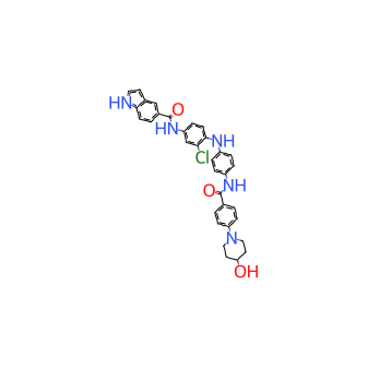 O=C(Nc1ccc(Nc2ccc(NC(=O)c3ccc4[nH]ccc4c3)cc2Cl)cc1)c1ccc(N2CCC(O)CC2)cc1